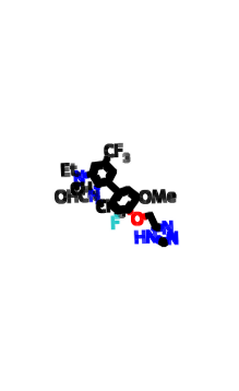 CCN(C)c1cc(C(F)(F)F)cc(-c2cc(F)c(OCc3nnc[nH]3)c(OC)c2)c1N(C)C=O